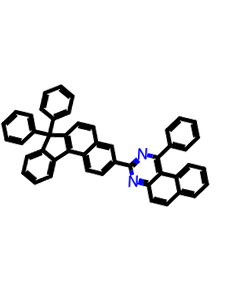 c1ccc(-c2nc(-c3ccc4c5c(ccc4c3)C(c3ccccc3)(c3ccccc3)c3ccccc3-5)nc3ccc4ccccc4c23)cc1